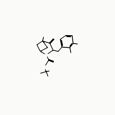 CC(C)(C)OC(=O)N1C2CC(F)(C2)C(=O)C1Cc1cccc(Br)c1F